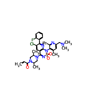 C=CC(=O)N1CC(C)N(C2=NS(=O)(=O)N(c3c(C)cc(CN(C)C)nc3C(C)C)c3nc(-c4ccccc4F)c(Cl)cc32)CC1C